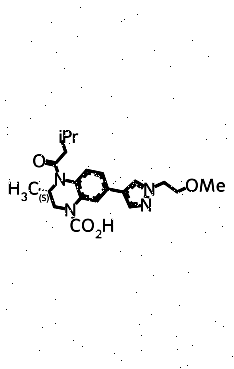 COCCn1cc(-c2ccc3c(c2)N(C(=O)O)C[C@H](C)N3C(=O)CC(C)C)cn1